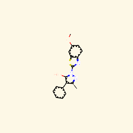 COc1ccc2nc(-n3nc(C)c(-c4ccccc4)c3O)sc2c1